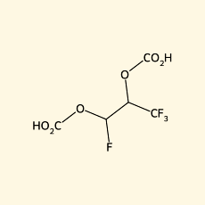 O=C(O)OC(F)C(OC(=O)O)C(F)(F)F